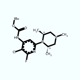 C[C@H]1CN(C)C[C@H](C)N1c1cc(NC(=O)OC(C)(C)C)c(Cl)c(F)n1